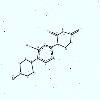 CCN1CCC(c2ccc(C3CCC(=O)NC3=O)cc2F)CC1